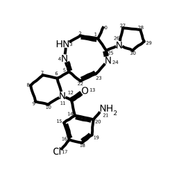 Cc1c[nH]nc(C2CCCCN2C(=O)c2cc(Cl)ccc2N)ccnc1N1CCCC1